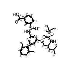 Cc1cccc(C)c1-c1cc(OCC(CC(C)C)NC(=O)OC(C)(C)C)nc(N[S+]([O-])c2cccc(C(=O)O)c2)n1